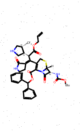 C=CCOC(=O)C(C(=C1CCNC1=O)C1=C(C(=O)OC(c2ccccc2)c2ccccc2)N2C(=O)[C@@H](NC(=O)OC(C)(C)C)[C@H]2SC1)[C@@H]1CNC[C@@H]1C(F)(F)F